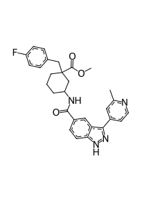 COC(=O)C1(Cc2ccc(F)cc2)CCCC(NC(=O)c2ccc3[nH]nc(-c4ccnc(C)c4)c3c2)C1